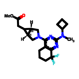 COC(=O)CC1[C@H]2CN(c3nc(N(C)C4CCC4)nc4c3CCCC4(F)F)C[C@@H]12